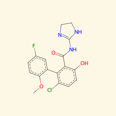 COc1ccc(F)cc1-c1c(Cl)ccc(O)c1C(=O)NC1=NCCN1